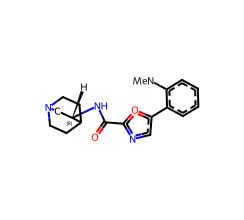 CNc1ccccc1-c1cnc(C(=O)N[C@H]2CN3CCC2CC3)o1